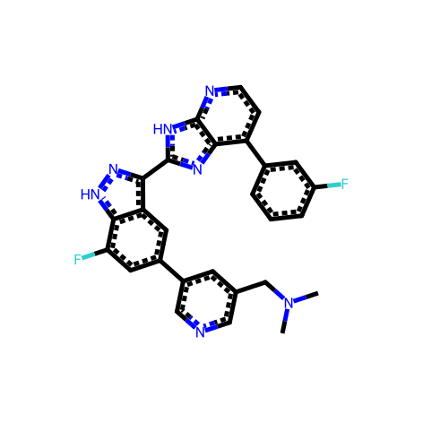 CN(C)Cc1cncc(-c2cc(F)c3[nH]nc(-c4nc5c(-c6cccc(F)c6)ccnc5[nH]4)c3c2)c1